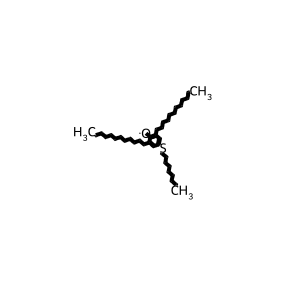 CCCCCCCCCCCCc1cc(SCCCCCCCCC)cc(CCCCCCCCCCCC)c1[O]